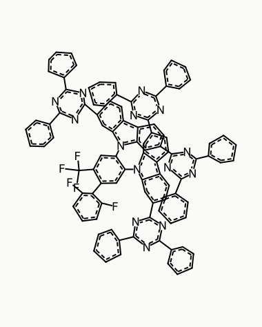 Fc1cccc(F)c1-c1cc(-n2c3cc(-c4nc(-c5ccccc5)nc(-c5ccccc5)n4)ccc3c3ccc(-c4nc(-c5ccccc5)nc(-c5ccccc5)n4)cc32)c(-n2c3cc(-c4nc(-c5ccccc5)nc(-c5ccccc5)n4)ccc3c3ccc(-c4nc(-c5ccccc5)nc(-c5ccccc5)n4)cc32)cc1C(F)(F)F